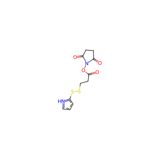 O=C(CCSSc1ccc[nH]1)ON1C(=O)CCC1=O